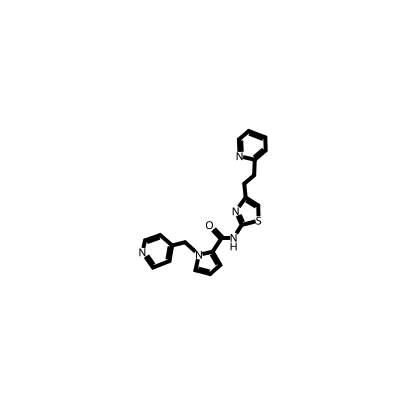 O=C(Nc1nc(CCc2ccccn2)cs1)c1cccn1Cc1ccncc1